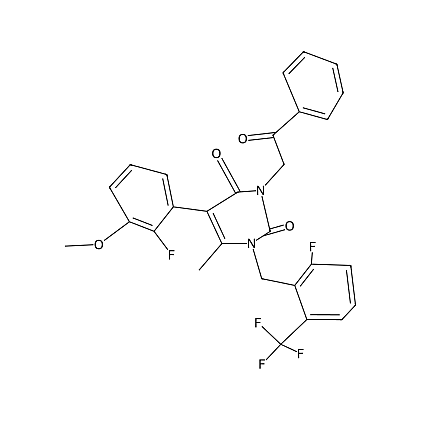 COc1cccc(-c2c(C)n(Cc3c(F)cccc3C(F)(F)F)c(=O)n(CC(=O)c3ccccc3)c2=O)c1F